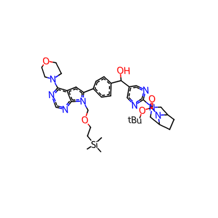 CC(C)(C)OC(=O)N1C2CCC1CN(c1ncc(C(O)c3ccc(-c4cc5c(N6CCOCC6)ncnc5n4COCC[Si](C)(C)C)cc3)cn1)C2